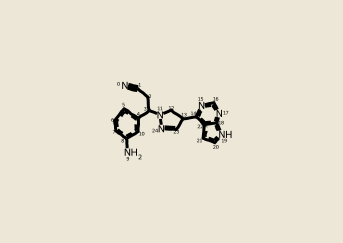 N#CCC(c1cccc(N)c1)N1CC(c2ncnc3[nH]ccc23)C=N1